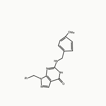 COc1ccc(CNc2nc3c(cnn3CC(C)C)c(=O)[nH]2)cc1